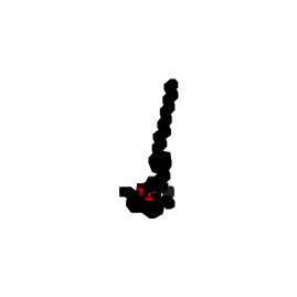 CCCCCCCCCCCCc1ccc(/C=C2\S/C(=N/c3c(CC)cccc3CC)N(c3c(CC)cccc3CC)C2=O)cc1